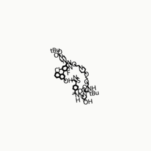 Cc1ncsc1-c1ccc([C@H](C)NC(=O)[C@@H]2C[C@@H](O)CN2C(=O)[C@@H](NC(=O)COCCOC2CCN(CCOc3nc(N4CCN(C(=O)OC(C)(C)C)CC4)c4cc(Cl)c(-c5cc(O)cc6ccccc56)c(F)c4n3)CC2)C(C)(C)C)cc1